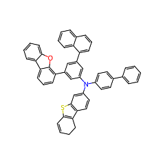 C1=Cc2sc3cc(N(c4ccc(-c5ccccc5)cc4)c4cc(-c5cccc6ccccc56)cc(-c5cccc6c5oc5ccccc56)c4)ccc3c2CC1